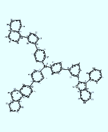 c1ccc(-c2c(-c3cccc(-c4ccc(N(c5ccc(-c6cccc(-c7cccc8ccccc78)c6)cc5)c5ccc(-c6ccc7c(ccc8ccccc87)c6)cc5)cc4)c3)oc3ccccc23)cc1